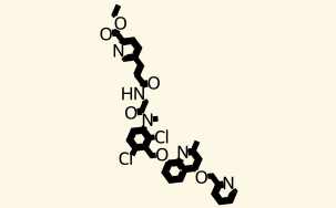 CCOC(=O)c1ccc(C=CC(=O)NCC(=O)N(C)c2ccc(Cl)c(COc3cccc4c(OCc5ccccn5)cc(C)nc34)c2Cl)cn1